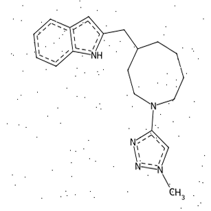 Cn1cc(N2CCCCC(Cc3cc4ccccc4[nH]3)CC2)nn1